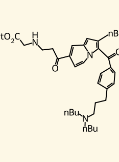 CCCCc1cc2cc(C(=O)CCNCC(=O)OCC)ccn2c1C(=O)c1ccc(CCCN(CCCC)CCCC)cc1